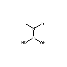 CCN(C)P(O)O